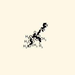 CCC[C@@H](C)C(=O)[C@H](C)[C@H]1N(CCCCn2cnc(-c3cccnc3)c2)C(=O)O[C@]1(C)[C@@H](CC)OC(=O)[C@H](C)C(=O)[C@H](C)COC